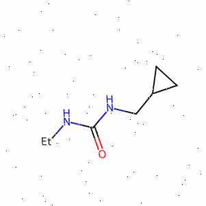 CCNC(=O)NCC1CC1